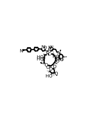 CC[C@H]1OC(=O)[C@H](C)[C@@H](O[C@H]2C[C@@](C)(OC)[C@@H](O)[C@H](C)O2)[C@H](C)[C@@H](O[C@@H]2O[C@H](C)C[C@H](N(C)CCc3cn(C[C@H]4CC(c5ccc(-c6ccc(C#N)cc6)cc5)=NO4)nn3)[C@H]2O)[C@](C)(O)C[C@@H](C)CN(C)[C@H](C)[C@@H](O)[C@]1(C)O